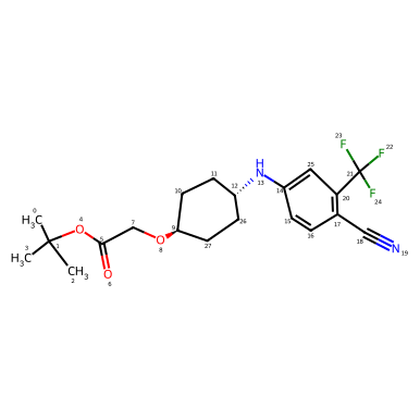 CC(C)(C)OC(=O)CO[C@H]1CC[C@H](Nc2ccc(C#N)c(C(F)(F)F)c2)CC1